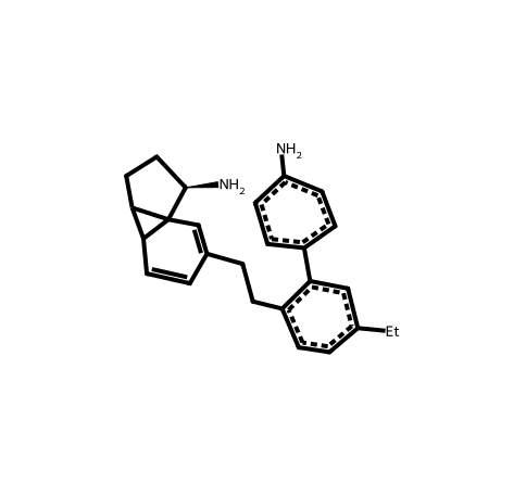 CCc1ccc(CCC2=CC34C(C=C2)C3CC[C@H]4N)c(-c2ccc(N)cc2)c1